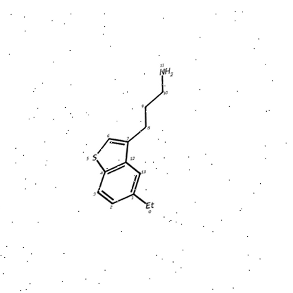 CCc1ccc2scc(CCCN)c2c1